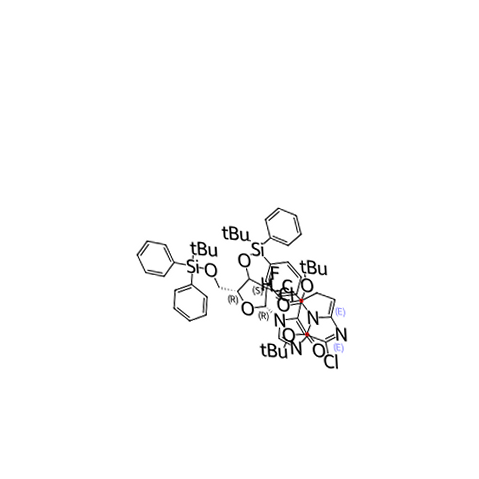 CC1C/C=C(N(C(=O)OC(C)(C)C)C(=O)OC(C)(C)C)/N=C(/Cl)c2ncn([C@@H]3O[C@H](CO[Si](c4ccccc4)(c4ccccc4)C(C)(C)C)C(O[Si](c4ccccc4)(c4ccccc4)C(C)(C)C)[C@]3(F)Cl)c21